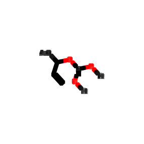 C=CC(OC(C)=O)O[SiH](OCC)OCC